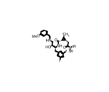 CCCN(CCC)C(=O)C[C@@H]1[C@H](C)[C@H]1C(=O)N[C@@H](Cc1cc(F)cc(F)c1)[C@@H](O)CNCc1cccc(OC)c1